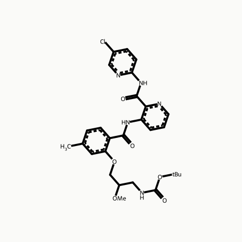 COC(CNC(=O)OC(C)(C)C)COc1cc(C)ccc1C(=O)Nc1cccnc1C(=O)Nc1ccc(Cl)cn1